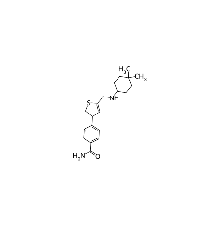 CC1(C)CCC(NCC2=CC(c3ccc(C(N)=O)cc3)CS2)CC1